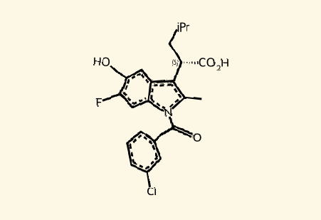 Cc1c([C@H](CC(C)C)C(=O)O)c2cc(O)c(F)cc2n1C(=O)c1cccc(Cl)c1